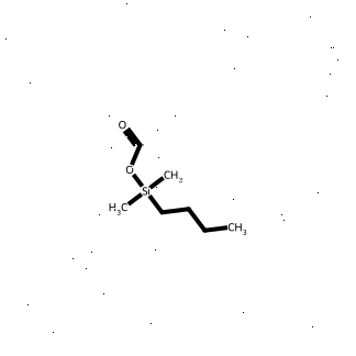 CCCC[Si](C)(C)O[C]=O